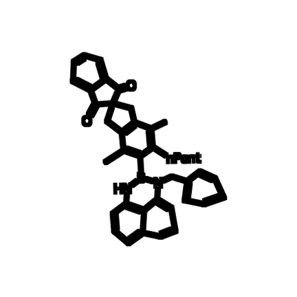 CCCCCc1c(C)c2c(c(C)c1B1Nc3cccc4cccc(c34)N1Cc1ccccc1)CC1(C2)C(=O)c2ccccc2C1=O